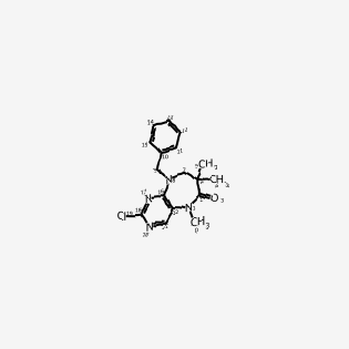 CN1C(=O)C(C)(C)CN(Cc2ccccc2)c2nc(Cl)ncc21